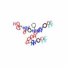 COCC1=N[N+](C)(c2ccc(OC(F)(F)F)cc2)C=C1C(=O)O.COCc1nn(-c2ccc(OC(F)(F)F)cc2)cc1C(Nc1ccc(C(=O)NCCC(=O)O)cc1)C1CCCCC1